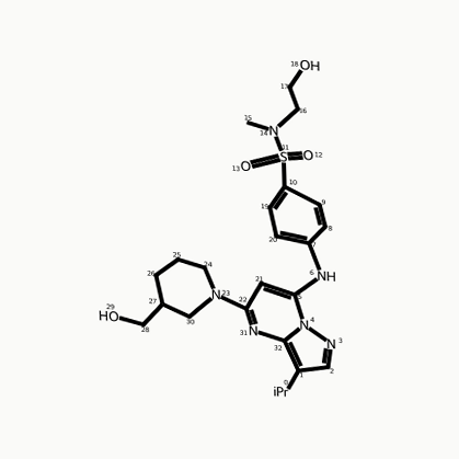 CC(C)c1cnn2c(Nc3ccc(S(=O)(=O)N(C)CCO)cc3)cc(N3CCCC(CO)C3)nc12